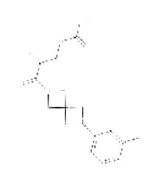 CCC(CNC(=O)OC)C(=O)N1CC2(CC(c3cccc(C(C)C)c3)C2)C1